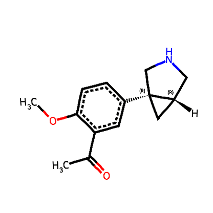 COc1ccc([C@]23CNC[C@@H]2C3)cc1C(C)=O